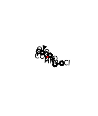 O=C(Nc1cccc(-c2ccc(Cl)cc2)n1)c1ccc(Oc2c(C3CC3)cc3c(c2C2CC2)OCCC3C(=O)O)cc1